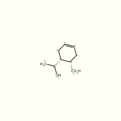 CC(O)[C@@H]1CC=CC[C@@H]1C(=O)O